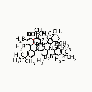 Bc1cc(C(C)(C)C)cc(B)c1N1c2cc(C)cc3c2B(c2cc(C(C)(C)C)ccc2N3c2ccc(C(C)(C)C)cc2-c2c(B)c(B)c(B)c(B)c2B)c2sc3c(c21)C(C)(C)CCC3(C)C